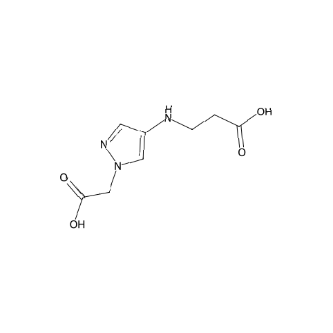 O=C(O)CCNc1cnn(CC(=O)O)c1